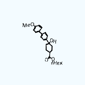 CCCCCCOC(=O)C1CCC(O)(c2ccc(-c3ccc(OC)cc3)cc2)CC1